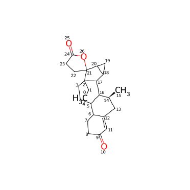 CCC12CCC3C4CCC(=O)C=C4C[C@H](C)C3C1C1CC1C21CCC(=O)O1